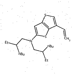 C=Cc1csc2cc(N(CC(CC)CCCC)CC(CC)CCCC)sc12